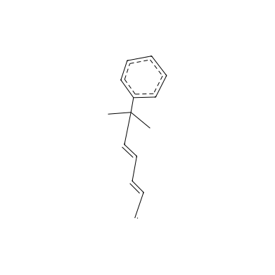 [CH2]C=CC=CC(C)(C)c1ccccc1